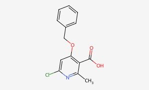 Cc1nc(Cl)cc(OCc2ccccc2)c1C(=O)O